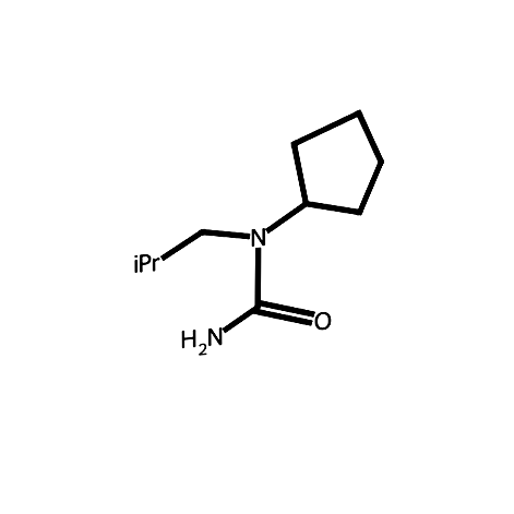 CC(C)CN(C(N)=O)C1CCCC1